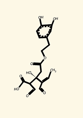 C/C=C(/C=O)[C@](O)(CC(=O)OCCc1ccc(O)c(O)c1)C(C=O)C(=O)O